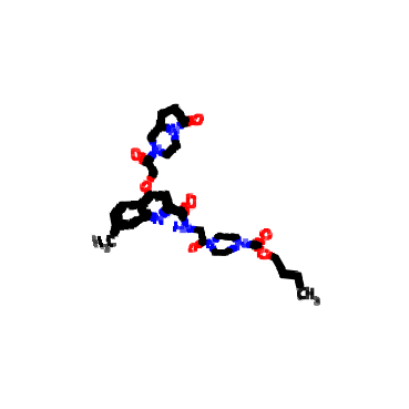 CCCCOC(=O)N1CCN(C(=O)CNC(=O)c2cc(OCC(=O)N3CCN4C(=O)CCC4C3)c3ccc(C)cc3n2)CC1